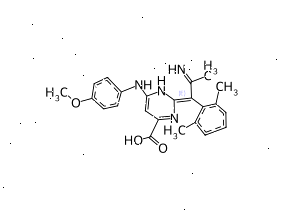 COc1ccc(NC2=CC(C(=O)O)=N/C(=C(/C(C)=N)c3c(C)cccc3C)N2)cc1